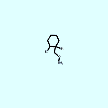 CCC1CCCCC1(CC)CO[SiH3]